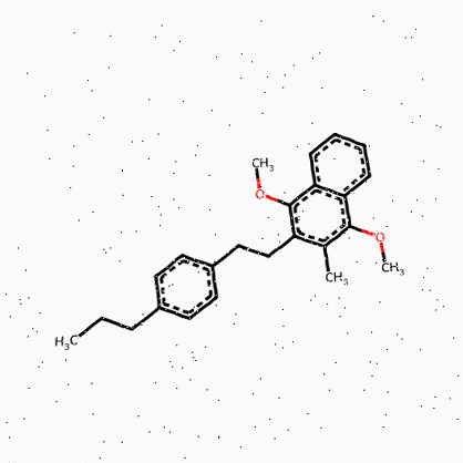 CCCc1ccc(CCc2c(C)c(OC)c3ccccc3c2OC)cc1